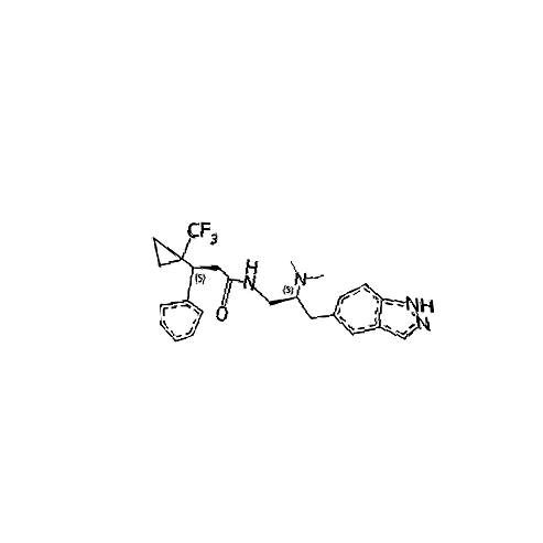 CN(C)[C@H](CNC(=O)C[C@@H](c1ccccc1)C1(C(F)(F)F)CC1)Cc1ccc2[nH]ncc2c1